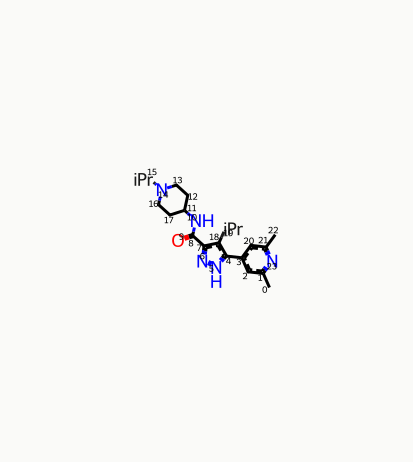 Cc1cc(-c2[nH]nc(C(=O)NC3CCN(C(C)C)CC3)c2C(C)C)cc(C)n1